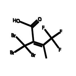 C/C(=C(/C(=O)O)C(Br)(Br)Br)C(F)(F)F